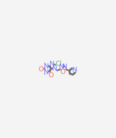 Cn1c(=O)c2c(nc(Cl)n2Cc2nnc(-c3cccnc3)o2)n(C)c1=O